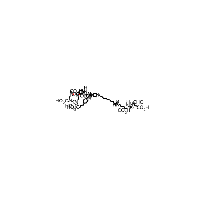 O=C[C@H](CCC(=O)O)NC(=O)N[C@@H](CCCCNC(=O)CCCCCCCCCCN1CCN(c2nc(Nc3ccc(CC4CN(CC(=O)O)CCN(CC(=O)O)CCN(CC(=O)O)CCN4CC(=O)O)cc3)nc(N3CCC(CCCC(=O)O)CC3)n2)CC1)C(=O)O